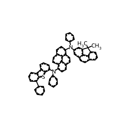 CC1(C)c2cccc3ccc4cc(N(c5ccccc5)c5ccc6ccc7c(N(c8ccccc8)c8cccc9c8sc8c(-c%10ccccc%10)cccc89)ccc8ccc5c6c87)cc1c4c23